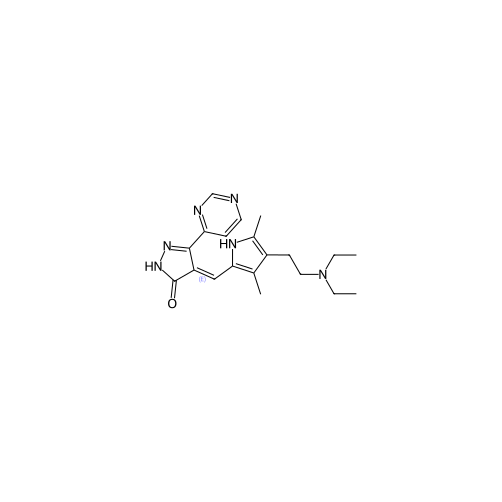 CCN(CC)CCc1c(C)[nH]c(/C=C2/C(=O)NN=C2c2ccncn2)c1C